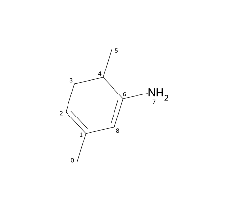 CC1=CCC(C)C(N)=C1